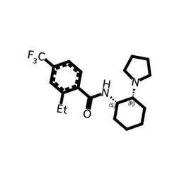 CCc1cc(C(F)(F)F)ccc1C(=O)N[C@H]1CCCC[C@H]1N1CCCC1